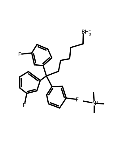 C[N+](C)(C)C.[BH3-]CCCCCC(c1cccc(F)c1)(c1cccc(F)c1)c1cccc(F)c1